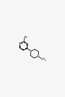 CC(C)c1cc(N2CCN(C)CC2)ccn1